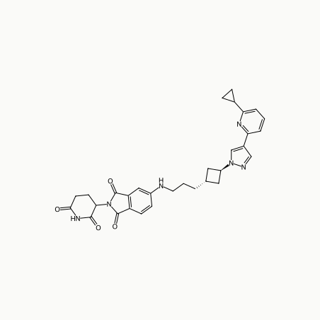 O=C1CCC(N2C(=O)c3ccc(NCCC[C@H]4C[C@H](n5cc(-c6cccc(C7CC7)n6)cn5)C4)cc3C2=O)C(=O)N1